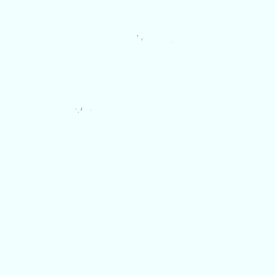 COc1cc(C2(C#N)CCC2)ccc1OCc1ccccc1